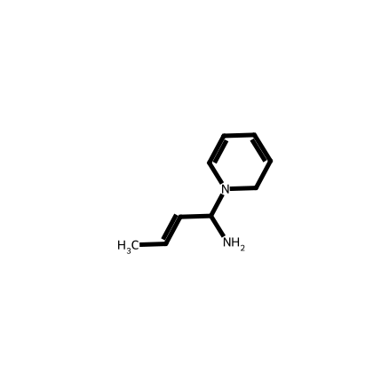 C/C=C/C(N)N1C=CC=CC1